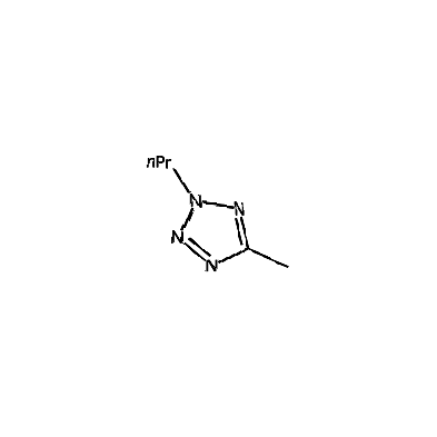 CCCn1nnc(C)n1